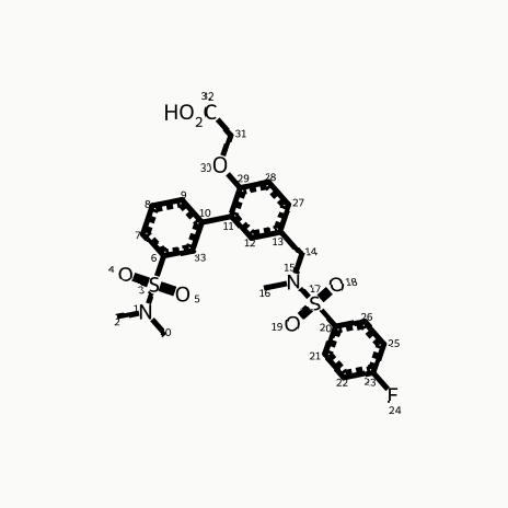 CN(C)S(=O)(=O)c1cccc(-c2cc(CN(C)S(=O)(=O)c3ccc(F)cc3)ccc2OCC(=O)O)c1